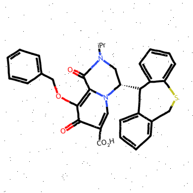 CC(C)N1C[C@H](C2c3ccccc3CSc3ccccc32)n2cc(C(=O)O)c(=O)c(OCc3ccccc3)c2C1=O